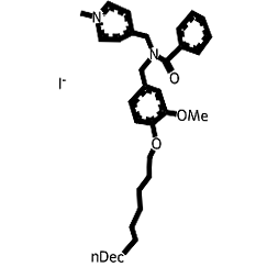 CCCCCCCCCCCCCCCCOc1ccc(CN(Cc2cc[n+](C)cc2)C(=O)c2ccccc2)cc1OC.[I-]